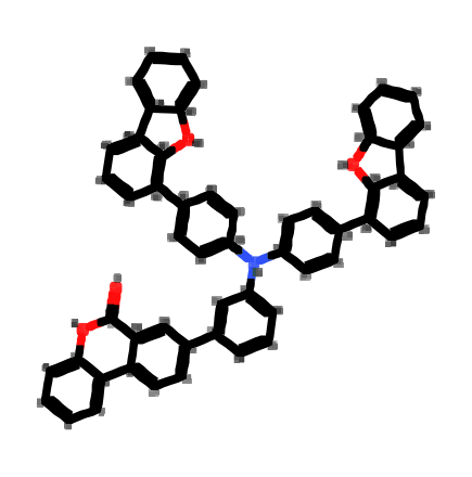 O=c1oc2ccccc2c2ccc(-c3cccc(N(c4ccc(-c5cccc6c5oc5ccccc56)cc4)c4ccc(-c5cccc6c5oc5ccccc56)cc4)c3)cc12